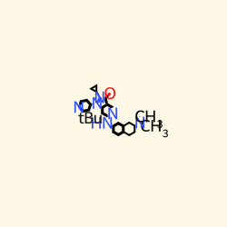 CN(C)C1CCc2ccc(Nc3cc4c(cn3)c(=O)n(C3CC3)n4-c3ccnc(C(C)(C)C)c3)cc2C1